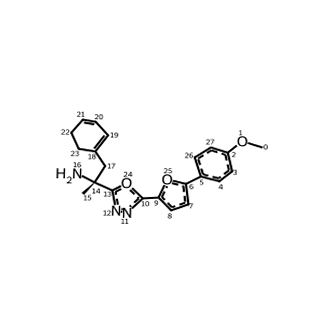 COc1ccc(-c2ccc(-c3nnc([C@](C)(N)CC4=CC=CCC4)o3)o2)cc1